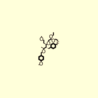 CCOC(CO[C@H](CCOC)[C@H](Cc1ccc(F)cc1)[C@H](C)OCc1ccc(OC)cc1)OCC